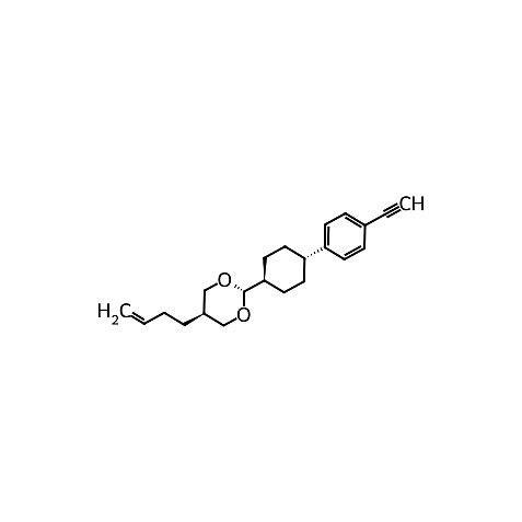 C#Cc1ccc([C@H]2CC[C@H]([C@H]3OC[C@H](CCC=C)CO3)CC2)cc1